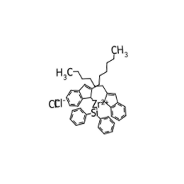 CCCCCCC1=Cc2ccccc2[CH]1[Zr+2]([CH]1C(CCCCCC)=Cc2ccccc21)=[Si](c1ccccc1)c1ccccc1.[Cl-].[Cl-]